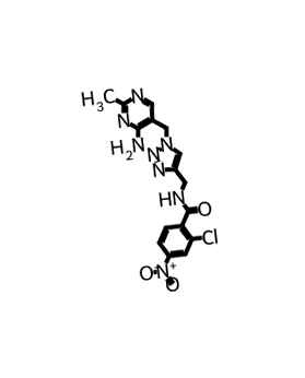 Cc1ncc(Cn2cc(CNC(=O)c3ccc([N+](=O)[O-])cc3Cl)nn2)c(N)n1